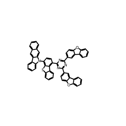 c1ccc2cc3c(cc2c1)c1ccccc1n3-c1ccc(-c2nc(-c3ccc4oc5ccccc5c4c3)nc(-c3ccc4oc5ccccc5c4c3)n2)c2c1sc1ccccc12